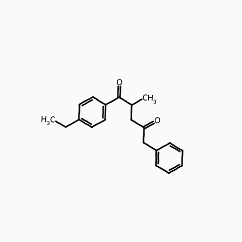 CCc1ccc(C(=O)C(C)CC(=O)Cc2ccccc2)cc1